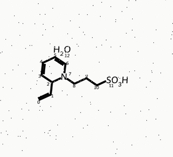 C=CC1C=CC=CN1CCCS(=O)(=O)O.O